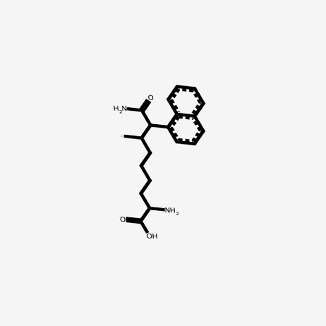 [CH2]C(CCCCC(N)C(=O)O)C(C(N)=O)c1cccc2ccccc12